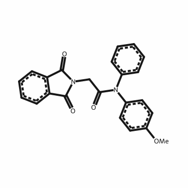 COc1ccc(N(C(=O)CN2C(=O)c3ccccc3C2=O)c2ccccc2)cc1